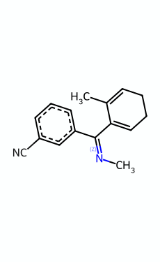 C/N=C(\C1=CCCC=C1C)c1cccc(C#N)c1